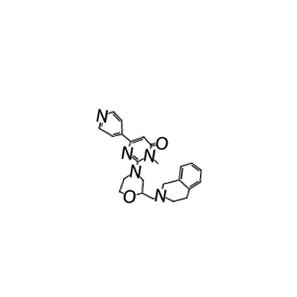 Cn1c(N2CCOC(CN3CCc4ccccc4C3)C2)nc(-c2ccncc2)cc1=O